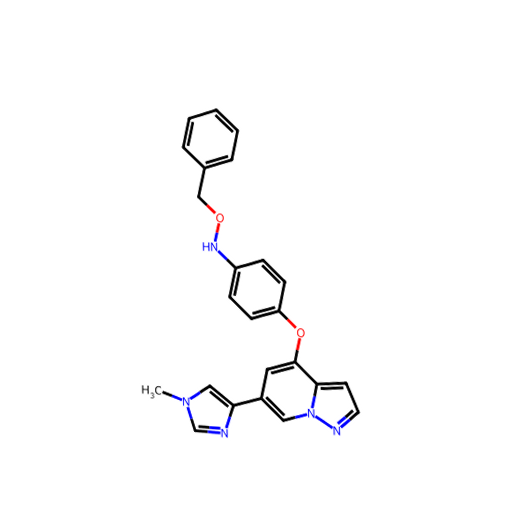 Cn1cnc(-c2cc(Oc3ccc(NOCc4ccccc4)cc3)c3ccnn3c2)c1